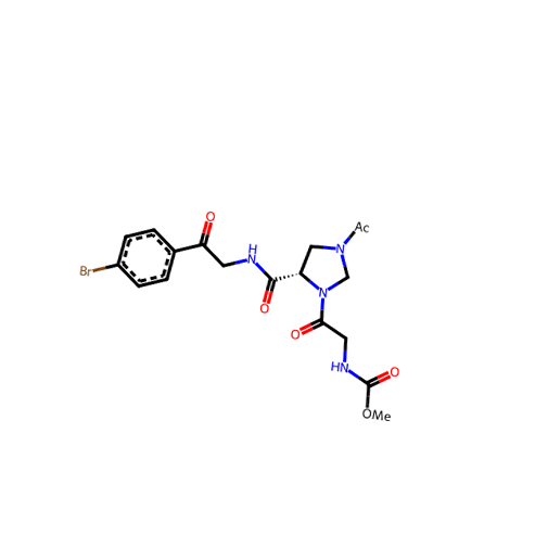 COC(=O)NCC(=O)N1CN(C(C)=O)C[C@H]1C(=O)NCC(=O)c1ccc(Br)cc1